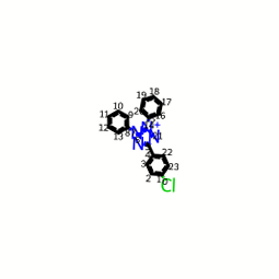 Clc1ccc(-c2nn(-c3ccccc3)[n+](-c3ccccc3)n2)cc1